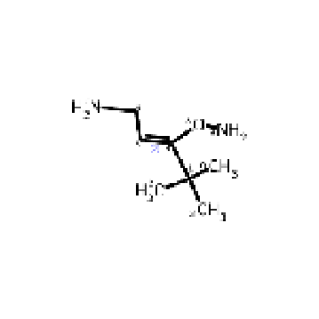 CC(C)(C)/C(=C/CN)ON